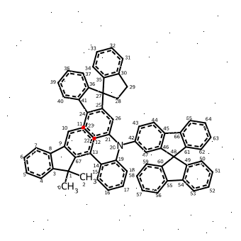 CC1(C)c2ccccc2-c2cccc(-c3ccccc3N(c3ccc4c(c3)C3(CCc5ccccc53)c3ccccc3-4)c3ccc4c(c3)C3(c5ccccc5-c5ccccc53)c3ccccc3-4)c21